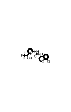 O=C(Nc1cccc([C@H](O)C(F)(F)F)n1)N[C@H]1CCOc2c(Cl)cccc21